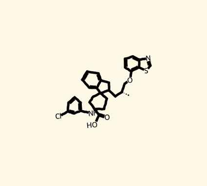 C[C@@H](COc1cccc2ncsc12)CC1Cc2ccccc2C12CCC(Nc1cccc(Cl)c1)(C(=O)O)CC2